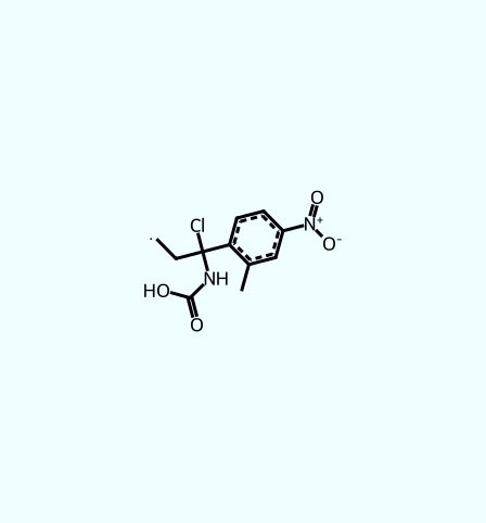 [CH2]CC(Cl)(NC(=O)O)c1ccc([N+](=O)[O-])cc1C